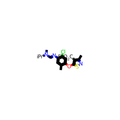 CCOC(=O)c1c(C)nsc1Oc1cc(Cl)c(/N=C/N(C)C(C)C)cc1C